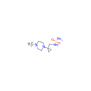 CN1CCN(C2(CNS(N)(=O)=O)CC2)CC1